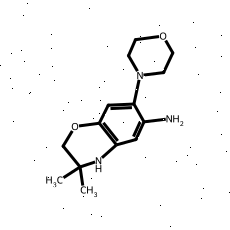 CC1(C)COc2cc(N3CCOCC3)c(N)cc2N1